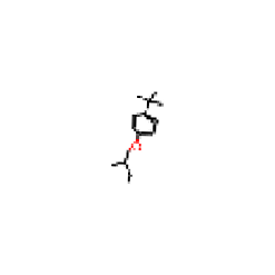 CCC(C)COc1ccc(C(C)(C)C)cc1